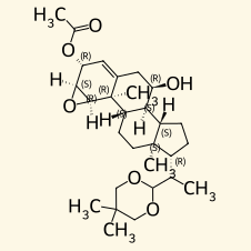 CC(=O)O[C@@H]1C=C2C[C@@H](O)[C@H]3[C@@H]4CC[C@H](C(C)C5OCC(C)(C)CO5)[C@@]4(C)CC[C@@H]3[C@@]2(C)[C@H]2O[C@@H]12